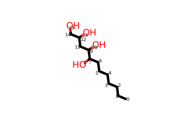 CCCCCCCC(O)C(O)CC(O)CO